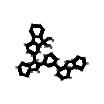 CC1(C)c2ccccc2-c2ccc(-n3c(-c4cccc(-c5cccc6c5sc5ccccc56)c4)nc4ccccc43)cc21